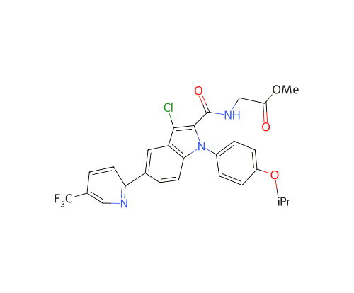 COC(=O)CNC(=O)c1c(Cl)c2cc(-c3ccc(C(F)(F)F)cn3)ccc2n1-c1ccc(OC(C)C)cc1